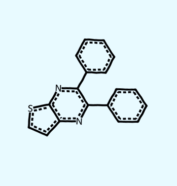 c1ccc(-c2nc3ccsc3nc2-c2ccccc2)cc1